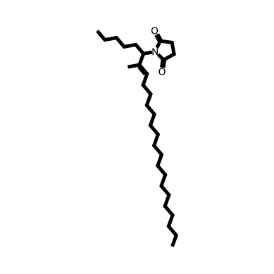 CCCCCCCCCCCCCCCCCC=C(C)C(CCCCC)N1C(=O)CCC1=O